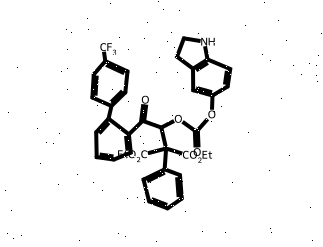 CCOC(=O)C(C(=O)OCC)(c1ccccc1)C(OC(=O)Oc1ccc2c(c1)CCN2)C(=O)c1ccccc1-c1ccc(C(F)(F)F)cc1